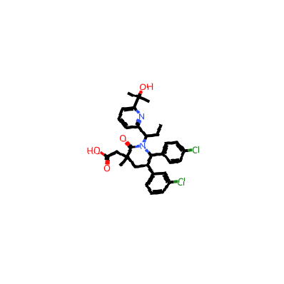 CCC(c1cccc(C(C)(C)O)n1)N1C(=O)C(C)(CC(=O)O)CC(c2cccc(Cl)c2)C1c1ccc(Cl)cc1